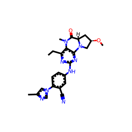 CCc1nc(Nc2ccc(-n3cnc(C)c3)c(C#N)c2)nc2c1N(C)C(=O)[C@@H]1C[C@@H](OC)CN21